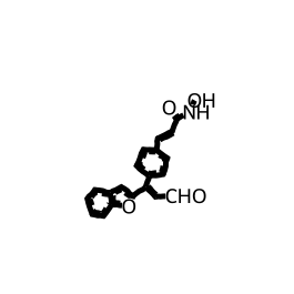 O=CC=C(c1ccc(C=CC(=O)NO)cc1)c1cc2ccccc2o1